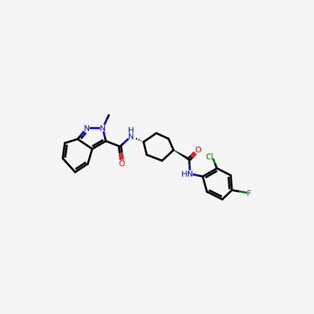 Cn1nc2ccccc2c1C(=O)N[C@H]1CC[C@H](C(=O)Nc2ccc(F)cc2Cl)CC1